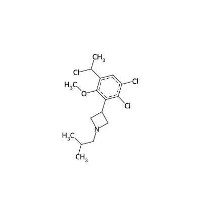 COc1c(C(C)Cl)cc(Cl)c(Cl)c1C1CN(C[C](C)C)C1